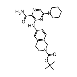 CC(C)(C)OC(=O)N1CCc2cc(Nc3nc(N4CCCCC4)cnc3C(N)=O)ccc2C1